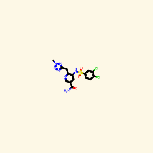 Cn1nnc(Cc2ncc(C(N)=O)cc2NS(=O)(=O)c2ccc(Cl)c(Cl)c2)n1